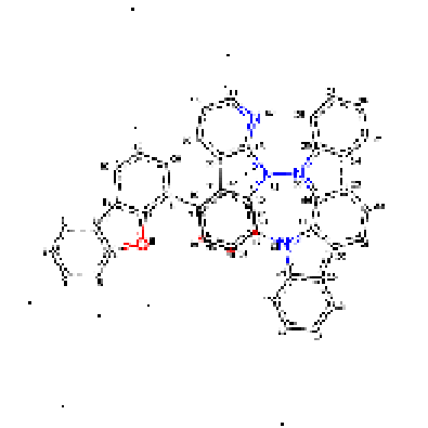 c1ccc2c(c1)oc1c(-c3ccc(-n4c5ccccc5c5ccc6c7ccccc7n(-n7c8ccccc8c8cccnc87)c6c54)cc3)cccc12